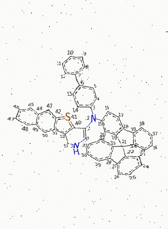 C1=C(N(c2ccc(-c3ccccc3)cc2)c2ccc3c(c2)C2(c4ccccc4-c4ccccc42)c2ccccc2-3)c2sc3cc4ccccc4cc3c2CN1